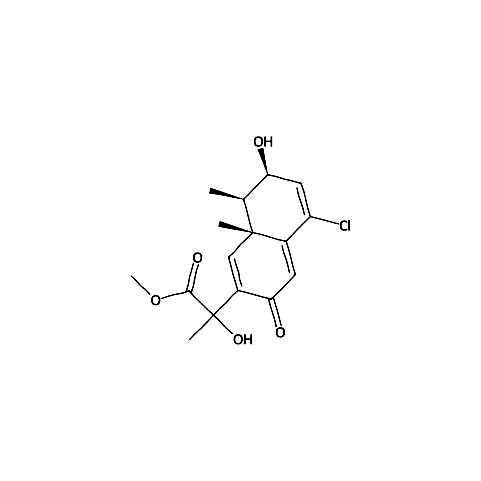 COC(=O)C(C)(O)C1=C[C@@]2(C)C(=CC1=O)C(Cl)=C[C@H](O)[C@@H]2C